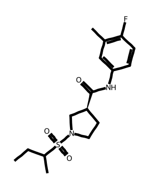 CCC(C)S(=O)(=O)N1CC[C@H](C(=O)Nc2ccc(F)c(C)c2)C1